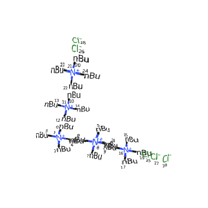 CCCC[N+](CCCC)(CCCC)CCCC.CCCC[N+](CCCC)(CCCC)CCCC.CCCC[N+](CCCC)(CCCC)CCCC.CCCC[N+](CCCC)(CCCC)CCCC.CCCC[N+](CCCC)(CCCC)CCCC.[Cl-].[Cl-].[Cl-].[Cl-].[Cl-]